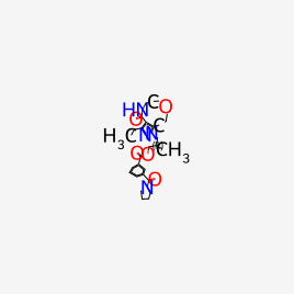 CCc1nn(C[C@@H](C)COC(=O)c2cccc(C(=O)N3CCCC3)c2)c2c1C(=O)NCCCOCCC2